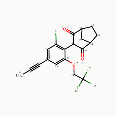 CC#Cc1cc(F)c(C2C(=O)C3CCC(C3)C2=O)c(OCC(F)(F)F)c1